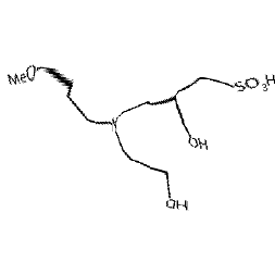 COCCN(CCO)CC(O)CS(=O)(=O)O